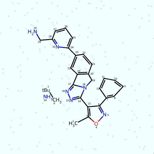 CC(C)(C)C.Cc1onc(-c2ccccc2)c1-c1nnc2n1Cc1ccc(-c3cccc(CN)n3)cc1-2.N